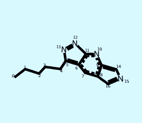 CCCCCC1=c2cc3c(nc2N=N1)=CN=C3